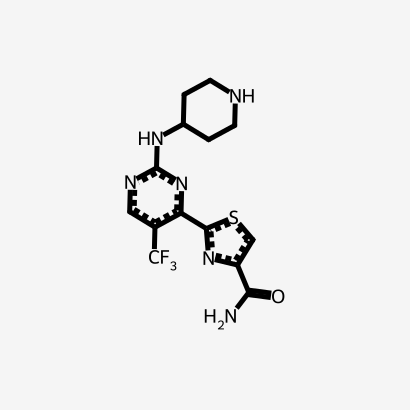 NC(=O)c1csc(-c2nc(NC3CCNCC3)ncc2C(F)(F)F)n1